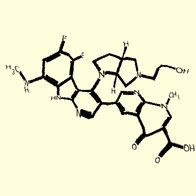 CNc1cc(F)c(F)c2c1[nH]c1ncc(-c3cnc4c(c3)c(=O)c(C(=O)O)cn4C)c(N3CC[C@@H]4CN(CCO)C[C@@H]43)c12